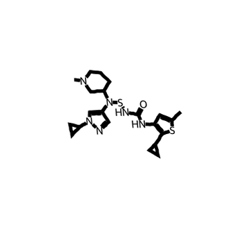 Cc1cc(NC(=O)NSN(c2cnn(C3CC3)c2)C2CCCN(C)C2)c(C2CC2)s1